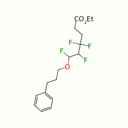 CCOC(=O)CCC(F)(F)C(F)C(F)OCCCc1ccccc1